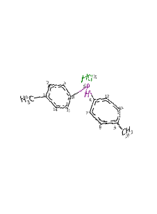 Cc1ccc(Pc2ccc(C)cc2)cc1.Cl